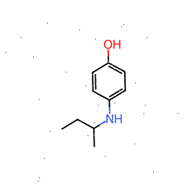 CCC(C)Nc1ccc(O)cc1